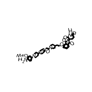 COc1cc(N2CCC(N3CCN(CC(=O)N4CCC(CCOc5cccc6c5C(=O)N(C5CCC(=O)NC5=O)C6=O)CC4)CC3)CC2)ccc1N